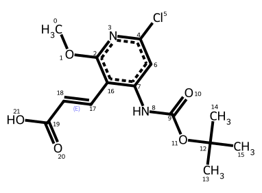 COc1nc(Cl)cc(NC(=O)OC(C)(C)C)c1/C=C/C(=O)O